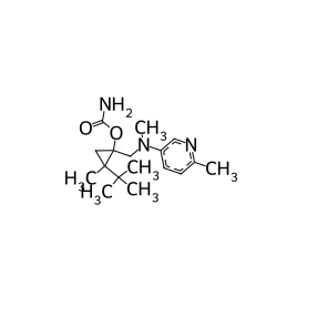 Cc1ccc(N(C)CC2(OC(N)=O)CC2(C)C(C)(C)C)cn1